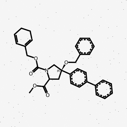 COC(=O)C1C[C@@](OCc2ccccc2)(c2ccc(-c3ccccc3)cc2)CN1C(=O)OCC1=CCCC=C1